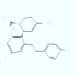 C=C(C)[C@H]1CCC(C)=C[C@H]1c1c(O)cc(O)cc1CCc1ccc(C)cc1